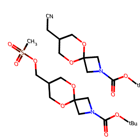 CC(C)(C)OC(=O)N1CC2(C1)OCC(CC#N)CO2.CC(C)(C)OC(=O)N1CC2(C1)OCC(COS(C)(=O)=O)CO2